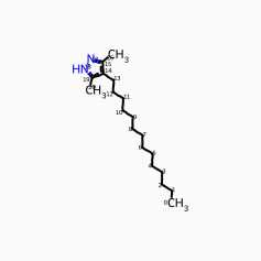 CCCCCCCCCCCCCCc1c(C)n[nH]c1C